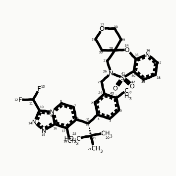 Cc1ccc([C@@H](c2ccn3c(C(F)F)nnc3c2C)C(C)(C)C(=O)O)cc1CN1CC2(CCOCC2)Oc2ncccc2S1(=O)=O